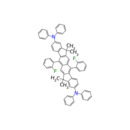 CC1(C)c2cc(N(c3ccccc3)c3ccccc3)ccc2-c2c1cc1c(-c3ccccc3F)c3c(cc1c2-c1ccccc1F)C(C)(C)c1cc(N(c2ccccc2)c2ccccc2)ccc1-3